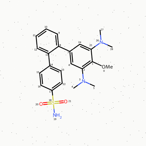 COc1c(N(C)C)cc(-c2ccccc2-c2ccc(S(N)(=O)=O)cc2)cc1N(C)C